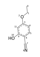 CCOc1ccc(C#N)c(O)c1